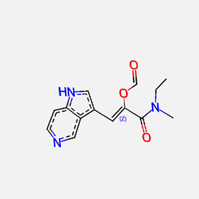 CCN(C)C(=O)/C(=C/c1c[nH]c2ccncc12)OC=O